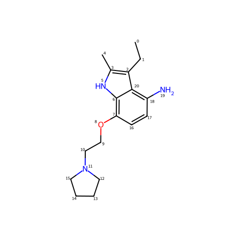 CCc1c(C)[nH]c2c(OCCN3CCCC3)ccc(N)c12